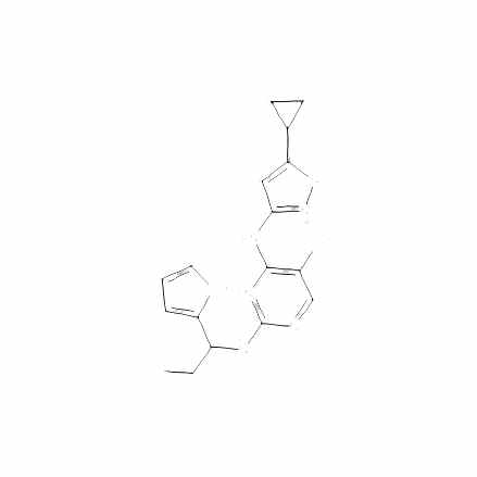 OCC(Nc1ncc(Cl)c(Nc2cc(C3CC3)[nH]n2)n1)c1cccs1